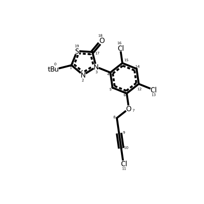 CC(C)(C)c1nn(-c2cc(OCC#CCl)c(Cl)cc2Cl)c(=O)s1